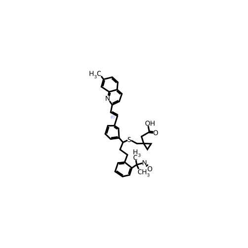 Cc1ccc2ccc(/C=C/c3cccc(C(CCc4ccccc4C(C)(C)N=O)SCC4(CC(=O)O)CC4)c3)nc2c1